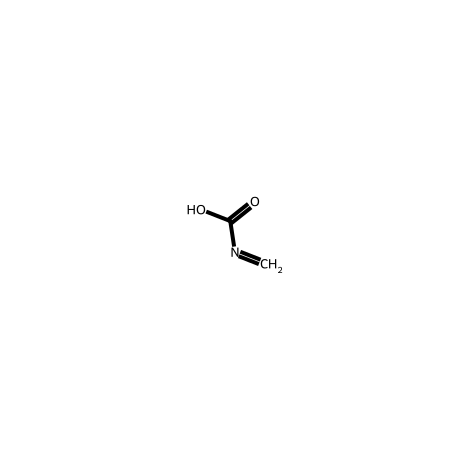 C=NC(=O)O